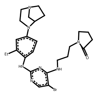 CCc1cc(N2CCN3CCC2C3)ccc1Nc1ncc(Br)c(NCCCN2CCCC2=O)n1